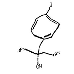 CCCC(O)(CCC)c1ccc(I)cc1